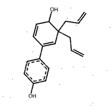 C=CCC1(CC=C)C=C(c2ccc(O)cc2)C=CC1O